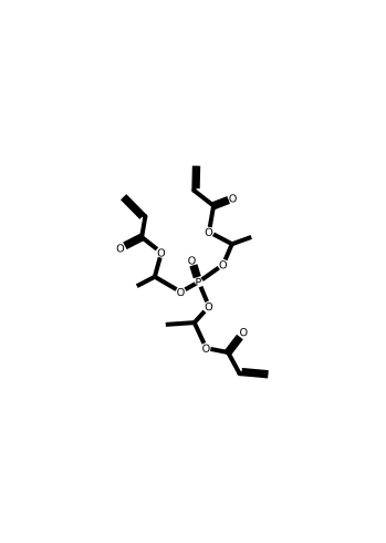 C=CC(=O)OC(C)OP(=O)(OC(C)OC(=O)C=C)OC(C)OC(=O)C=C